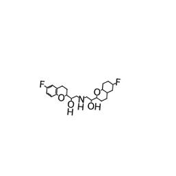 OC(CNCC(O)C1CCC2CC(F)CCC2O1)C1CCc2cc(F)ccc2O1